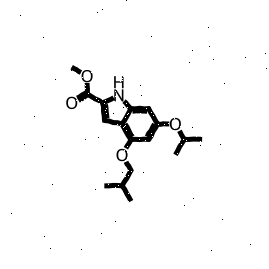 COC(=O)c1cc2c(OCC(C)C)cc(OC(C)C)cc2[nH]1